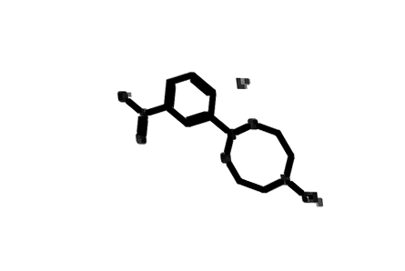 CN1CCOB(c2cccc(S(=O)[O-])c2)OCC1.[Li+]